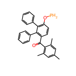 Cc1cc(C)c(C(=O)c2ccc(OP)c(-c3ccccc3)c2-c2ccccc2)c(C)c1